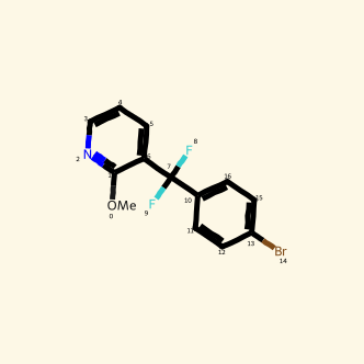 COc1ncccc1C(F)(F)c1ccc(Br)cc1